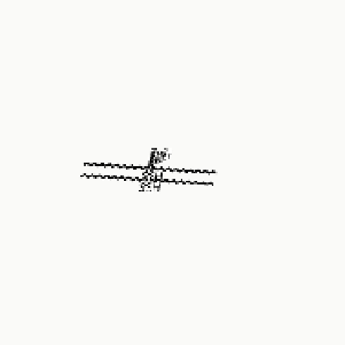 CCCCCCCCCCCCCCCCCCN(CCCCCCCCCCCCCCCCCC)C(=S)S.CCCCCCCCCCCCCCCCCCN(CCCCCCCCCCCCCCCCCC)C(=S)S.[S-2].[S-2].[Zn+2].[Zn+2].[Zn+2]